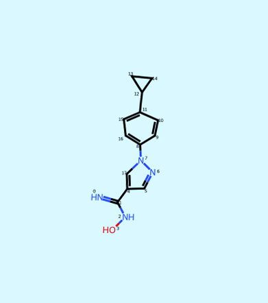 N=C(NO)c1cnn(-c2ccc(C3CC3)cc2)c1